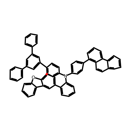 c1ccc(-c2cc(-c3ccccc3)cc(-c3ccc(N(c4ccc(-c5cccc6c5ccc5ccccc56)cc4)c4ccccc4-c4ccc5oc6ccccc6c5c4)cc3)c2)cc1